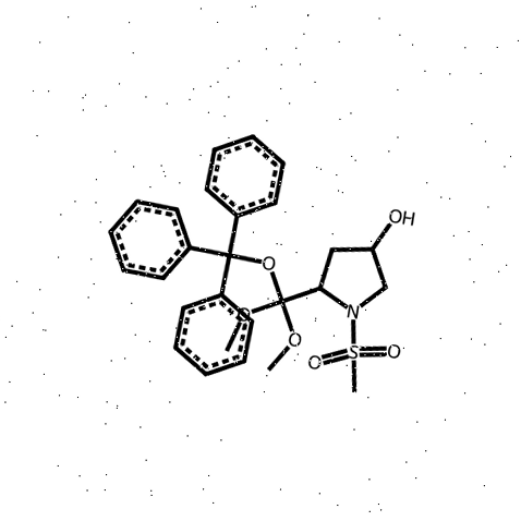 COC(OC)(OC(c1ccccc1)(c1ccccc1)c1ccccc1)C1CC(O)CN1S(C)(=O)=O